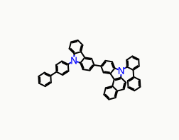 c1ccc(-c2ccc(-n3c4ccccc4c4cc(-c5ccc6c(c5)c5c7ccccc7ccc5n6-c5ccccc5-c5ccccc5)ccc43)cc2)cc1